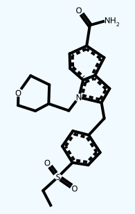 CCS(=O)(=O)c1ccc(Cc2cc3cc(C(N)=O)ccc3n2CC2CCOCC2)cc1